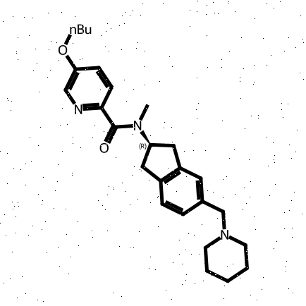 CCCCOc1ccc(C(=O)N(C)[C@@H]2Cc3ccc(CN4CCCCC4)cc3C2)nc1